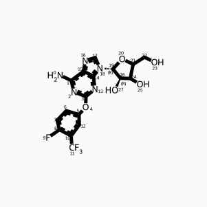 Nc1nc(Oc2ccc(F)c(C(F)(F)F)c2)nc2c1ncn2[C@@H]1OC(CO)C(O)[C@H]1O